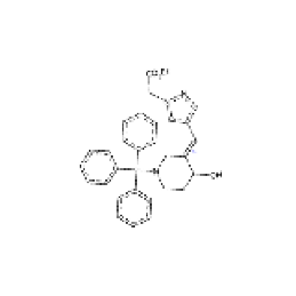 CCOC(=O)Cn1cc(/C=C2\CN(C(c3ccccc3)(c3ccccc3)c3ccccc3)CCC2O)cn1